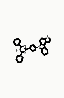 c1ccc(C2=NC(c3ccc(-n4c5ccccc5c5c6ccsc6ccc54)cc3)=NC(c3ccccc3)N2)cc1